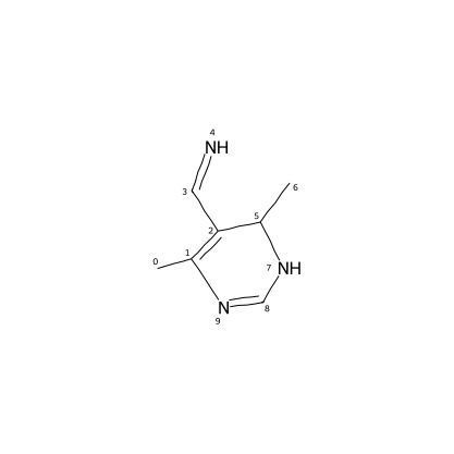 CC1=C(C=N)C(C)NC=N1